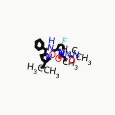 CC(NC(=O)N(C)C)C(=O)N1CC(F)CC1C(=O)NC(c1ccccc1)c1ccc(C(C)C)cn1